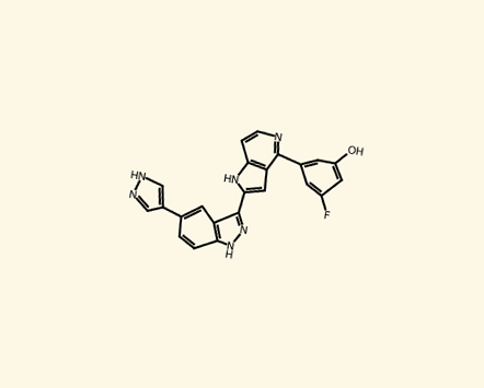 Oc1cc(F)cc(-c2nccc3[nH]c(-c4n[nH]c5ccc(-c6cn[nH]c6)cc45)cc23)c1